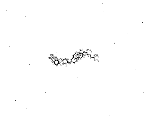 CC(C)CCC[C@@H](C)[C@H]1CC[C@H]2[C@@H]3CC=C4C[C@@H](OC(=O)N[C@H](Cc5ccc(OP(=O)(O)O)cc5)C(=O)O)CCC4(C)[C@H]3CC[C@]12C